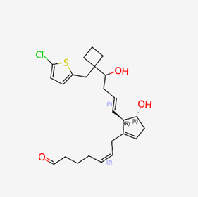 O=CCCC/C=C\CC1=CC[C@@H](O)[C@@H]1/C=C/CC(O)C1(Cc2ccc(Cl)s2)CCC1